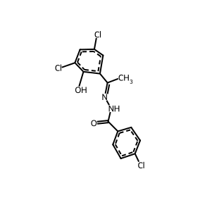 C/C(=N\NC(=O)c1ccc(Cl)cc1)c1cc(Cl)cc(Cl)c1O